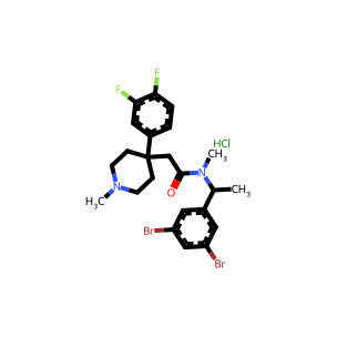 CC(c1cc(Br)cc(Br)c1)N(C)C(=O)CC1(c2ccc(F)c(F)c2)CCN(C)CC1.Cl